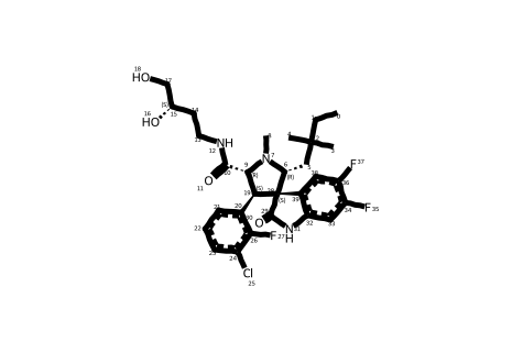 CCC(C)(C)C[C@H]1N(C)[C@@H](C(=O)NCC[C@H](O)CO)[C@H](c2cccc(Cl)c2F)[C@@]12C(=O)Nc1cc(F)c(F)cc12